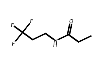 CCC(=O)NCCC(F)(F)F